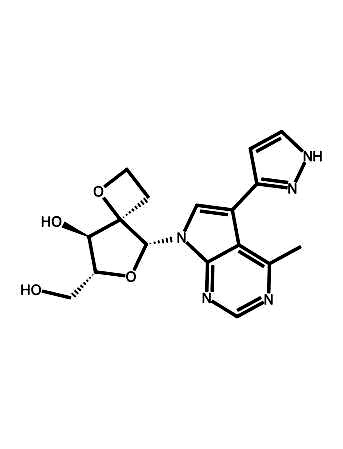 Cc1ncnc2c1c(-c1cc[nH]n1)cn2[C@@H]1O[C@H](CO)[C@@H](O)[C@]12CCO2